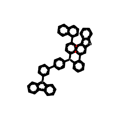 c1cc(-c2ccc(N(c3ccc(-c4cccc5ccccc45)cc3)c3ccccc3-c3ccc4c(c3)oc3ccccc34)cc2)cc(-n2c3ccccc3c3ccccc32)c1